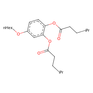 CCCCCCOc1ccc(OC(=O)CCC(C)C)c(OC(=O)CCC(C)C)c1